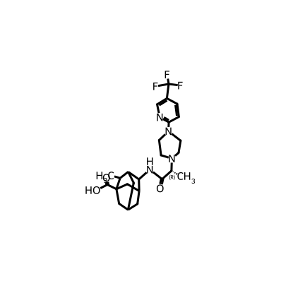 CC1C2CC3CC(CC1(C(=O)O)C3)C2NC(=O)[C@@H](C)N1CCN(c2ccc(C(F)(F)F)cn2)CC1